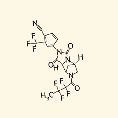 CC(F)(F)C(F)(F)C(=O)N1C[C@H]2CC1[C@H]1C(=O)N(c3ccc(C#N)c(C(F)(F)F)c3)C(=O)N21